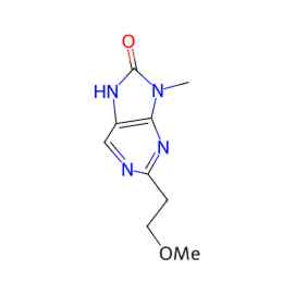 COCCc1ncc2[nH]c(=O)n(C)c2n1